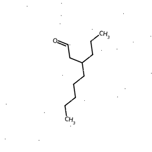 CCCCCC(C[C]=O)CCC